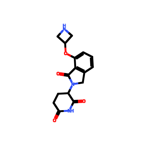 O=C1CCC(N2Cc3cccc(OC4CNC4)c3C2=O)C(=O)N1